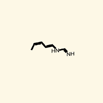 C/C=C\C=CNC=N